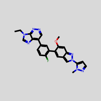 CCn1cnc2c(-c3ccc(F)c(-c4cc5cn(-c6ccnn6C)nc5cc4OC)c3)cnnc21